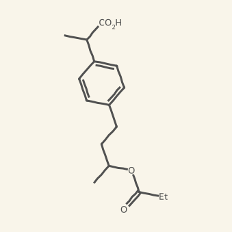 CCC(=O)OC(C)CCc1ccc(C(C)C(=O)O)cc1